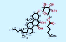 CCCCCCCCCCCCCC(=O)OC[C@H]1O[C@H](OC2CC[C@@]3(C)C(=C(O)C(O)C4C3CC[C@@]3(C)C4CC[C@@H]3[C@H](C)CCCC(C)C)C2)[C@@H](O)[C@@H](O)[C@H]1O